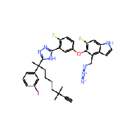 C#CC(C)(C)CCCCC(C)(c1cccc(I)c1)c1nnc(-c2cc(Oc3c(F)cc4[nH]ccc4c3CN=[N+]=[N-])ccc2F)[nH]1